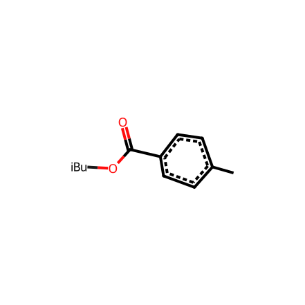 CCC(C)OC(=O)c1ccc(C)cc1